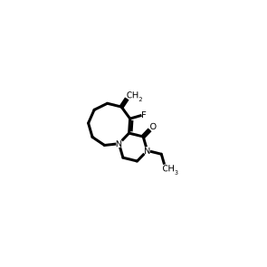 C=C1CCCCCN2CCN(CC)C(=O)/C2=C/1F